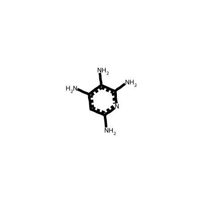 Nc1cc(N)c(N)c(N)n1